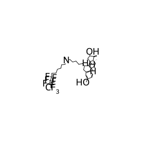 C=C1[C@H](O)C[C@H]2[C@@H]3[C@H](CCCCCN(C)CCCCCCC(F)(F)C(F)(F)C(F)(F)C(F)(F)F)Cc4cc(O)ccc4[C@H]3CC[C@]12C